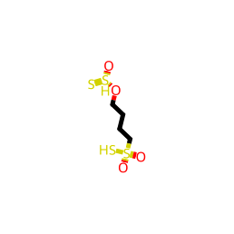 O=[SH](=S)OCCCCS(=O)(=O)S